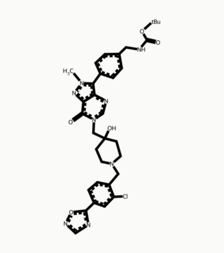 Cn1nc2c(=O)n(CC3(O)CCN(Cc4ccc(-c5ncno5)cc4Cl)CC3)cnc2c1-c1ccc(CNC(=O)OC(C)(C)C)cc1